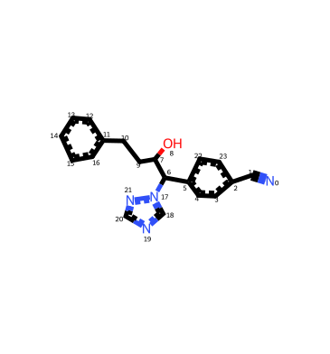 N#Cc1ccc(C(C(O)CCc2ccccc2)n2cncn2)cc1